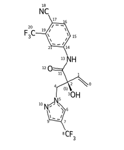 C=C[C@](O)(Cn1cc(C(F)(F)F)cn1)C(=O)Nc1ccc(C#N)c(C(F)(F)F)c1